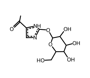 CC(=O)c1cnc(OC2OC(CO)C(O)C(O)C2O)[nH]1